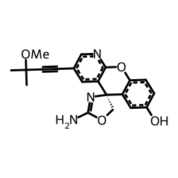 COC(C)(C)C#Cc1cnc2c(c1)[C@@]1(COC(N)=N1)c1cc(O)ccc1O2